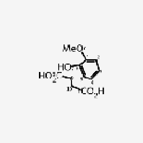 COc1ccccc1O.O=C(O)CCC(=O)O